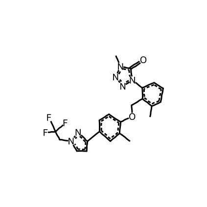 Cc1cc(-c2ccn(CC(F)(F)F)n2)ccc1OCc1c(C)cccc1-n1nnn(C)c1=O